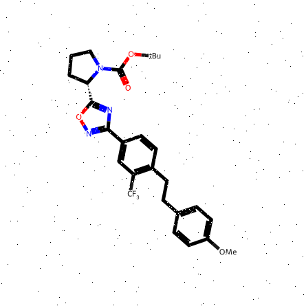 COc1ccc(CCc2ccc(-c3noc([C@@H]4CCCN4C(=O)OC(C)(C)C)n3)cc2C(F)(F)F)cc1